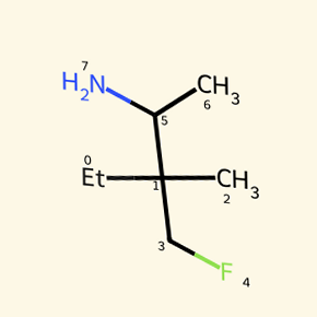 CCC(C)(CF)C(C)N